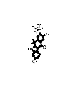 CC(=O)c1cc2c(cc1OS(=O)(=O)C(F)(F)F)C(C)(C)c1[nH]c3cc(C#N)ccc3c1C2=O